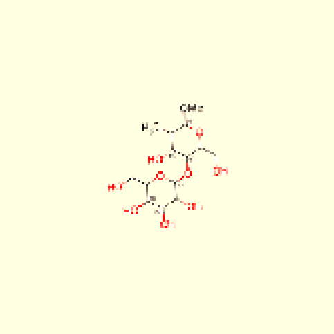 CO[C@@H]1OC(CO)[C@@H](O[C@@H]2OC(CO)[C@H](O)[C@H](O)C2O)[C@H](O)C1C